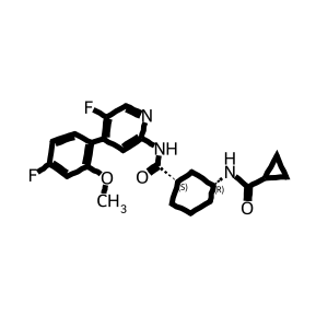 COc1cc(F)ccc1-c1cc(NC(=O)[C@H]2CCC[C@@H](NC(=O)C3CC3)C2)ncc1F